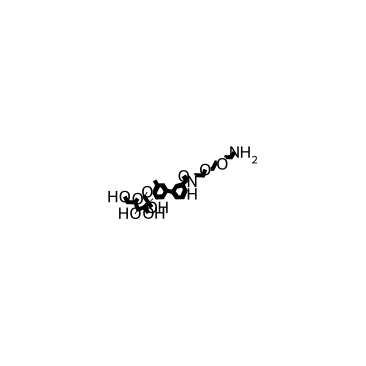 Cc1cc(-c2cccc(C(=O)NCCOCCOCCN)c2)ccc1O[C@H]1OC(CO)[C@@H](O)C(O)[C@]1(C)O